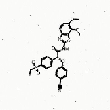 CCS(=O)(=O)c1ccc(C(Oc2ccc(C#N)cc2)C(=O)Nc2nc3ccc(OC)c(OC)c3s2)cc1